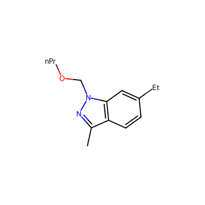 CCCOCn1nc(C)c2ccc(CC)cc21